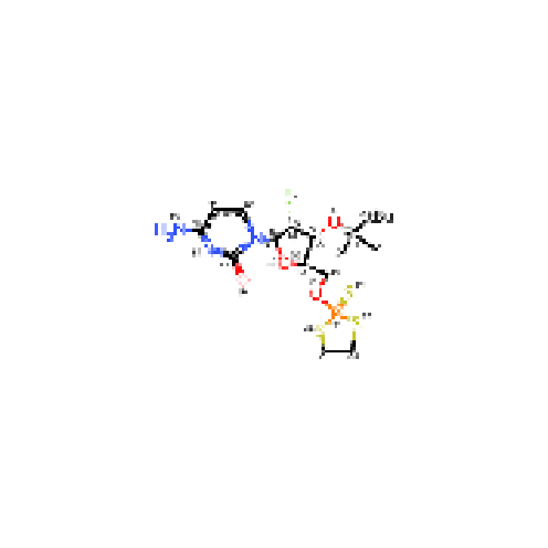 CC(C)(C)[Si](C)(C)O[C@H]1[C@@H](F)[C@H](n2ccc(N)nc2=O)O[C@@H]1COP1(=S)SCCS1